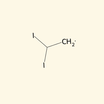 [CH2]C(I)I